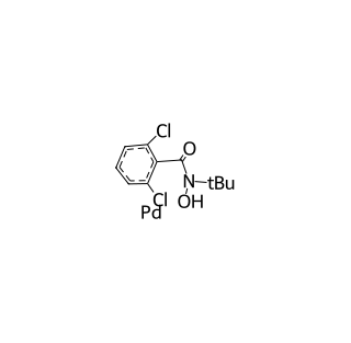 CC(C)(C)N(O)C(=O)c1c(Cl)cccc1Cl.[Pd]